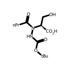 CCCC(=O)N(NC(=O)OC(C)(C)C)[C@@H](CO)C(=O)O